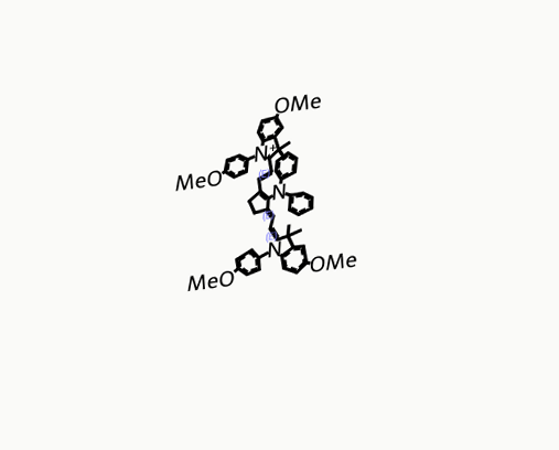 COc1ccc(N2/C(=C/C=C3\CCC(/C=C/C4=[N+](c5ccc(OC)cc5)c5ccc(OC)cc5C4(C)C)=C3N(c3ccccc3)c3ccccc3)C(C)(C)c3cc(OC)ccc32)cc1